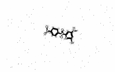 CNc1cc(Br)nc(S(=O)(=O)c2ccc([N+](=O)[O-])cc2)c1